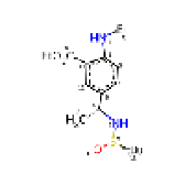 CCNc1ccc([C@@H](C)N[S@+]([O-])C(C)(C)C)cc1C(=O)OCC